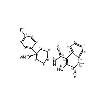 CO[C@]1(c2ccc(F)cc2)CC[C@@H](NC(=O)c2c(O)c(=O)n(C)c3ccccc23)CC1